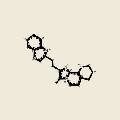 Cc1c(CCc2cnc3ccccc3n2)nc2c3c(ccn12)CCCO3